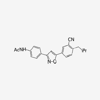 CC(=O)Nc1ccc(-c2cc(-c3ccc(CC(C)C)c(C#N)c3)on2)cc1